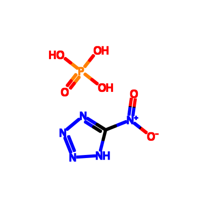 O=P(O)(O)O.O=[N+]([O-])c1nnn[nH]1